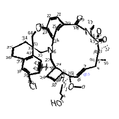 CO[C@]1(CCO)/C=C/C[C@H](C)[C@@H](C)S(=O)(=O)N(C)C(=O)c2ccc3c(c2)N(C[C@@H]2CC[C@H]21)C[C@@]1(CCCc2cc(Cl)ccc21)CO3